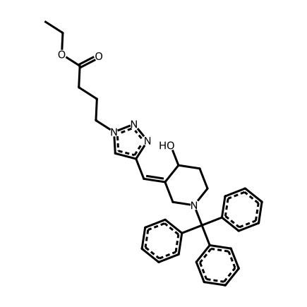 CCOC(=O)CCCn1cc(C=C2CN(C(c3ccccc3)(c3ccccc3)c3ccccc3)CCC2O)nn1